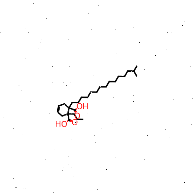 CCCC1(C(=O)O)CC=CCC1(CCCCCCCCCCCCCC(C)C)C(=O)O